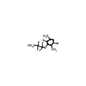 Cc1cc(F)c(C)c(OC(F)(F)C(F)(F)S(=O)(=O)O)c1F